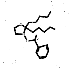 CCCCCC1(CCCCC)OCCN1OC(C)c1ccccc1